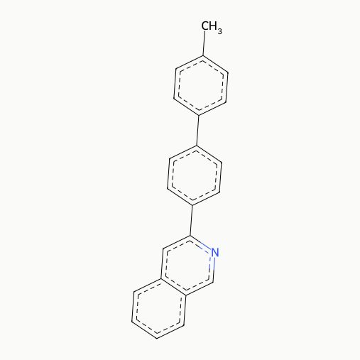 Cc1ccc(-c2ccc(-c3cc4ccccc4cn3)cc2)cc1